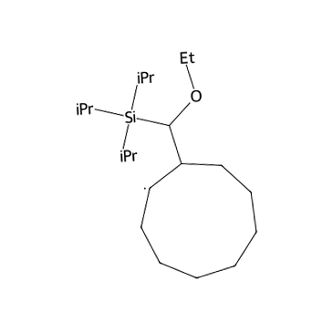 CCOC(C1[CH]CCCCCCC1)[Si](C(C)C)(C(C)C)C(C)C